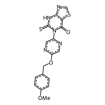 COc1ccc(COc2cnc(-n3c(=S)[nH]c4ncsc4c3=O)cn2)cc1